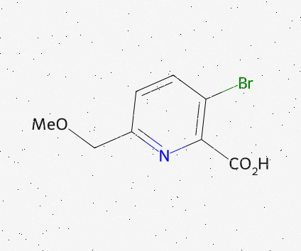 COCc1ccc(Br)c(C(=O)O)n1